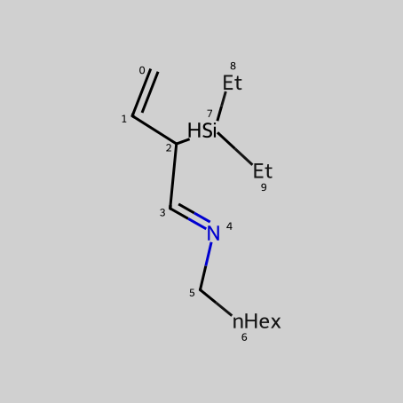 C=CC(C=NCCCCCCC)[SiH](CC)CC